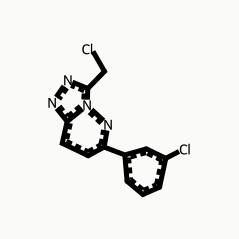 ClCc1nnc2ccc(-c3cccc(Cl)c3)nn12